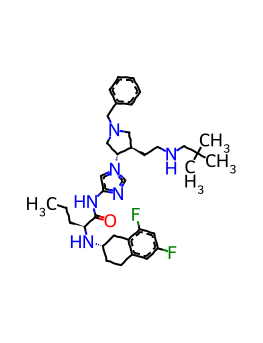 CCC[C@H](N[C@H]1CCc2cc(F)cc(F)c2C1)C(=O)Nc1cn([C@@H]2CN(Cc3ccccc3)C[C@H]2CCNCC(C)(C)C)cn1